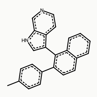 Cc1ccc(-c2ccc3ccccc3c2-c2c[nH]c3cnccc23)cc1